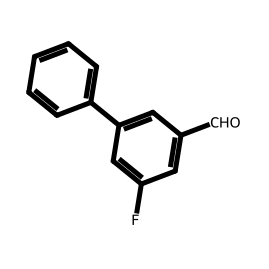 O=Cc1cc(F)cc(-c2ccccc2)c1